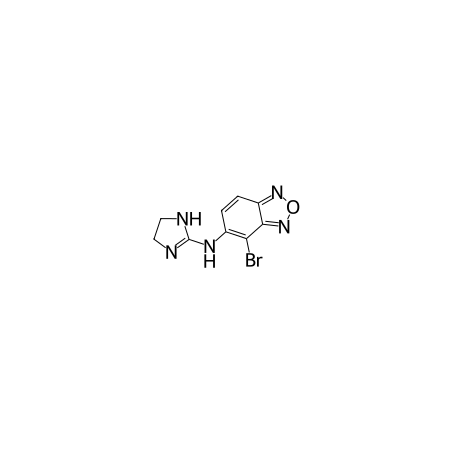 Brc1c(NC2=NCCN2)ccc2nonc12